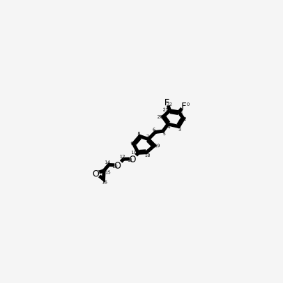 Fc1ccc(CCc2ccc(OCOCC3CO3)cc2)cc1F